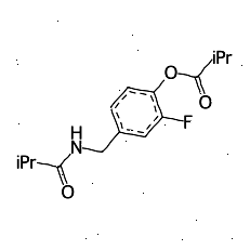 CC(C)C(=O)NCc1ccc(OC(=O)C(C)C)c(F)c1